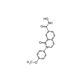 COc1ccc(-n2ccc3ccc(C(=O)NO)cc3c2=O)cc1